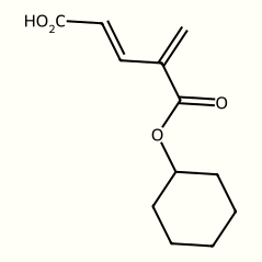 C=C(C=CC(=O)O)C(=O)OC1CCCCC1